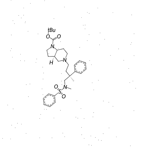 CN(C[C@@](C)(CCN1CCC2[C@H](CCN2C(=O)OC(C)(C)C)C1)c1ccccc1)S(=O)(=O)c1ccccc1